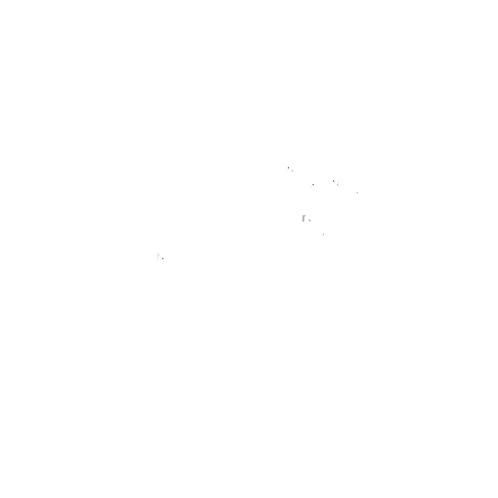 [C-]#[N+]c1cccc(-c2cccc(C34CCC3C(=O)N(C)C(=N)N4)c2)c1